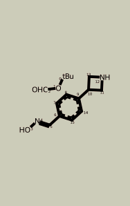 CC(C)(C)OC=O.ON=Cc1ccc(C2CNC2)cc1